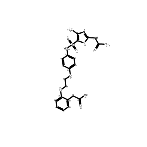 CC(=O)Nc1nc(C)c(S(=O)(=O)Nc2ccc(OCCOc3ccccc3CC(=O)O)cc2)s1